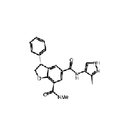 CNC(=O)c1cc(C(=O)Nc2c[nH]nc2C)cc2c1OC[C@@H]2c1ccccc1